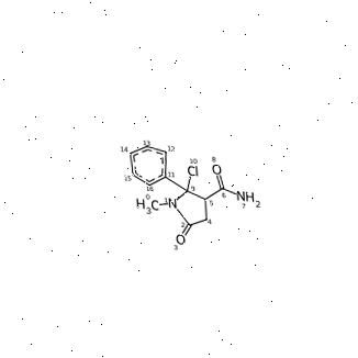 CN1C(=O)CC(C(N)=O)C1(Cl)c1ccccc1